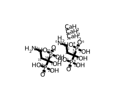 NCCC(O)(P(=O)(O)O)P(=O)(O)O.NCCC(O)(P(=O)(O)O)P(=O)(O)O.[CaH2].[CaH2].[CaH2]